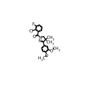 COc1ccc(C2=NN(C(=O)c3cccc(F)c3Cl)CC2(C)C)cc1OC